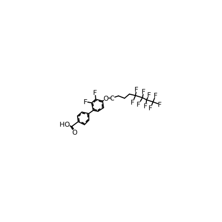 O=C(O)c1ccc(-c2ccc(OCCCCC(F)(F)C(F)(F)C(F)(F)C(F)(F)F)c(F)c2F)cc1